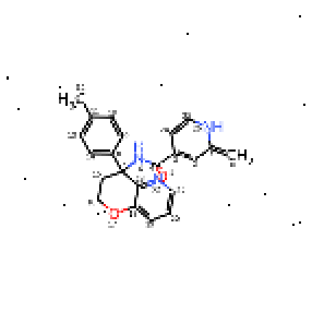 C=C1C=C(C(=O)NC2(c3ccc(C)cc3)CCOc3cccnc32)C=CN1